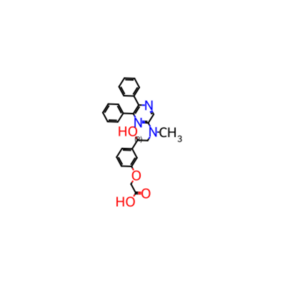 CN(C[C@H](O)c1cccc(OCC(=O)O)c1)c1cnc(-c2ccccc2)c(-c2ccccc2)n1